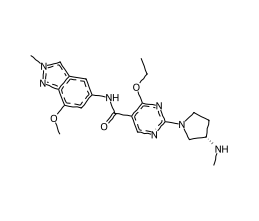 CCOc1nc(N2CC[C@H](NC)C2)ncc1C(=O)Nc1cc(OC)c2nn(C)cc2c1